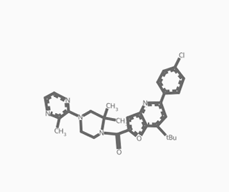 Cc1nccnc1N1CCN(C(=O)c2cc3nc(-c4ccc(Cl)cc4)cc(C(C)(C)C)c3o2)C(C)(C)C1